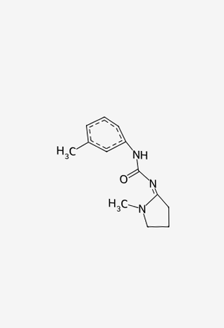 Cc1cccc(NC(=O)N=C2CCCN2C)c1